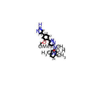 COCOc1cc(-c2cn[nH]c2)ccc1-c1ccc(N(C)C2C[C@]3(C)CC[C@](C)(C2)N3C(=O)O)nn1